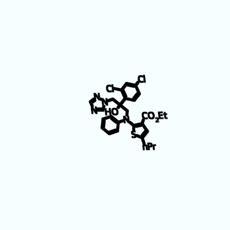 CCCc1cc(C(=O)OCC)c(N(CC(O)(Cn2cncn2)c2ccc(Cl)cc2Cl)c2ccccc2)s1